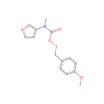 COc1ccc(CSOC(=O)N(C)c2ccoc2)cc1